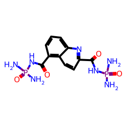 NP(N)(=O)NC(=O)c1ccc2c(C(=O)NP(N)(N)=O)cccc2n1